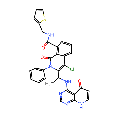 CC(Nc1ncnc2[nH]ccc(=O)c12)c1c(Cl)c2cccc(C(=O)NCc3cccs3)c2c(=O)n1-c1ccccc1